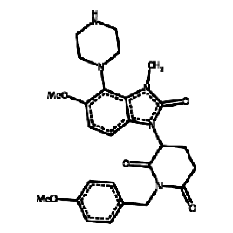 COc1ccc(CN2C(=O)CCC(n3c(=O)n(C)c4c(N5CCNCC5)c(OC)ccc43)C2=O)cc1